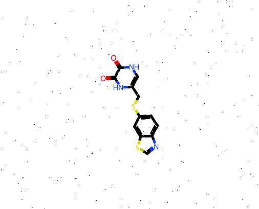 O=c1[nH]cc(CSc2ccc3ncsc3c2)[nH]c1=O